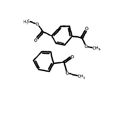 COC(=O)c1ccc(C(=O)OC)cc1.COC(=O)c1ccccc1